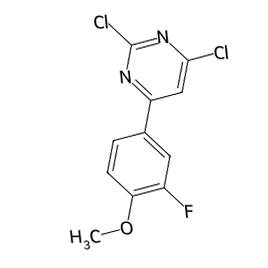 COc1ccc(-c2cc(Cl)nc(Cl)n2)cc1F